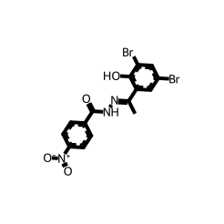 C/C(=N\NC(=O)c1ccc([N+](=O)[O-])cc1)c1cc(Br)cc(Br)c1O